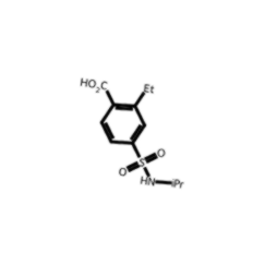 CCc1cc(S(=O)(=O)NC(C)C)ccc1C(=O)O